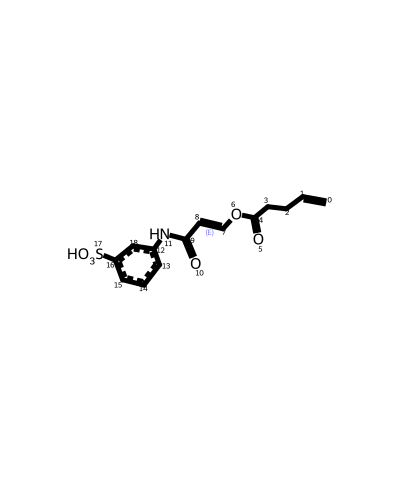 C=CCCC(=O)O/C=C/C(=O)Nc1cccc(S(=O)(=O)O)c1